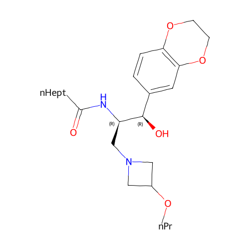 CCCCCCCC(=O)N[C@H](CN1CC(OCCC)C1)[C@H](O)c1ccc2c(c1)OCCO2